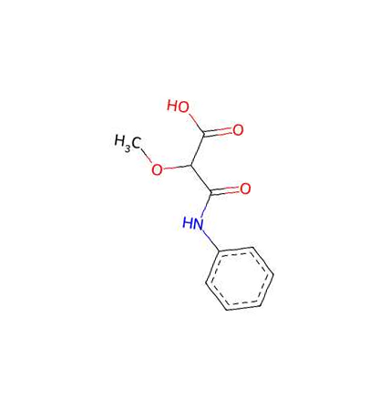 COC(C(=O)O)C(=O)Nc1ccccc1